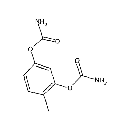 Cc1ccc(OC(N)=O)cc1OC(N)=O